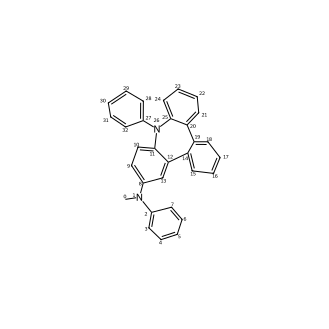 CN(c1ccccc1)c1ccc2c(c1)-c1ccccc1-c1ccccc1N2c1ccccc1